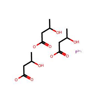 CC(O)CC(=O)[O-].CC(O)CC(=O)[O-].CC(O)CC(=O)[O-].[P+3]